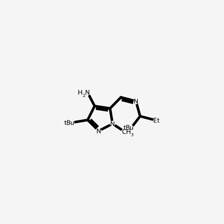 CCC(/N=C\c1c(N)c(C(C)(C)C)nn1C)C(C)(C)C